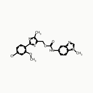 COc1cc(Cl)ccc1-c1nc(C)c(COC(=O)Nc2ccc3c(c2)ncn3C)s1